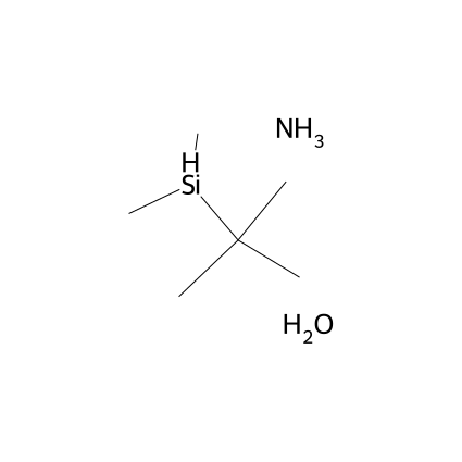 C[SiH](C)C(C)(C)C.N.O